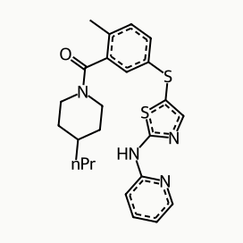 CCCC1CCN(C(=O)c2cc(Sc3cnc(Nc4ccccn4)s3)ccc2C)CC1